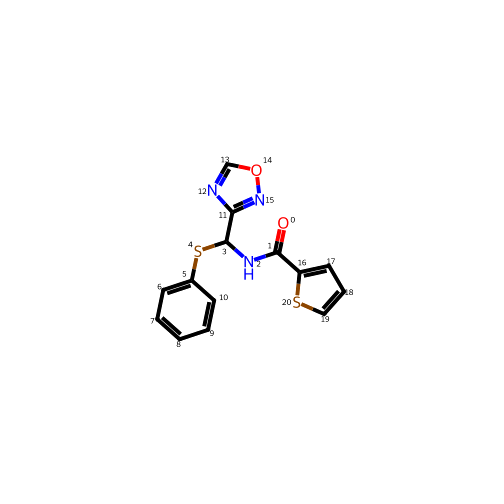 O=C(NC(Sc1ccccc1)c1ncon1)c1cccs1